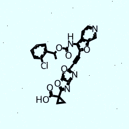 CC(OC(=O)Nc1c(C#Cc2nc3nc(C4(C(=O)O)CC4)oc3o2)oc2cnccc12)c1ccccc1Cl